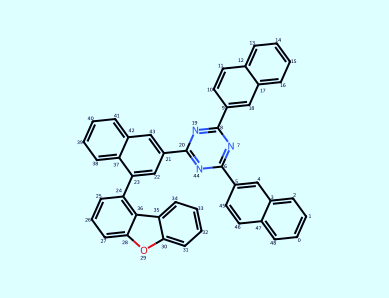 c1ccc2cc(-c3nc(-c4ccc5ccccc5c4)nc(-c4cc(-c5cccc6oc7ccccc7c56)c5ccccc5c4)n3)ccc2c1